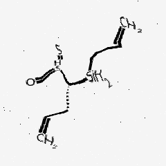 C=CC[SiH2][C@H](CC=C)[SH](=O)=S